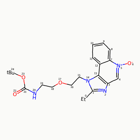 CCc1nc2c[n+]([O-])c3ccccc3c2n1CCOCCNC(=O)OC(C)(C)C